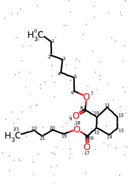 CCCCCCCOC(=O)C1CCCCC1C(=O)OCCCCC